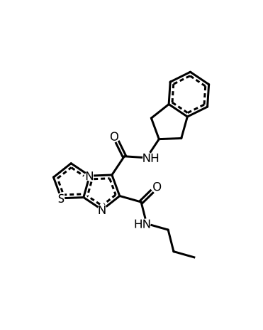 CCCNC(=O)c1nc2sccn2c1C(=O)NC1Cc2ccccc2C1